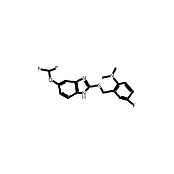 CN(C)c1ccc(F)cc1CSc1nc2cc(OC(F)F)ccc2[nH]1